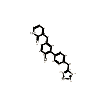 O=c1[nH]cccc1Cc1ccc(Cl)c(-c2ccc(Cc3nn[nH]n3)cc2)c1